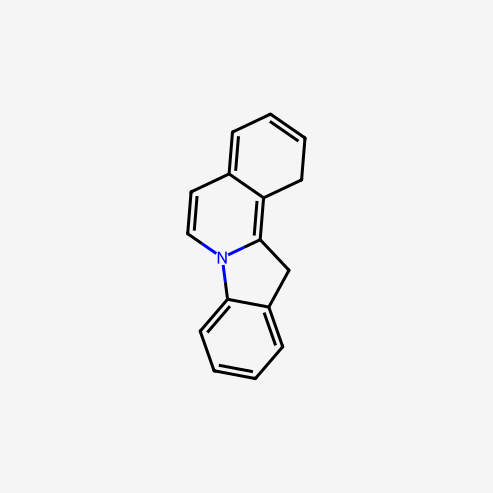 C1=CCC2=C3Cc4ccccc4N3C=CC2=C1